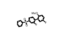 COc1ccc(F)cc1-c1ccc(S(=O)(=O)c2ccccc2)cc1F